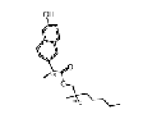 CCCCC[C@](C)(F)COC(=O)[C@@H](C)c1ccc2cc(O)ccc2c1